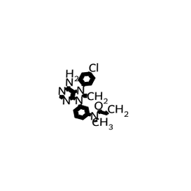 C=CC(=O)N(C)c1cccc(N2C(=C)N(c3ccc(Cl)cc3)c3c(N)ncnc32)c1